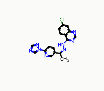 CC(=NNc1ncnc2cc(Cl)ccc12)c1ccc(-n2cncn2)nc1